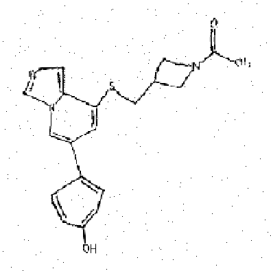 CC(=O)N1CC(CSc2cc(-c3ccc(O)cc3)cn3cncc23)C1